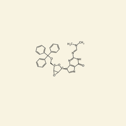 CN(C)C=Nc1nc2c(ncn2[C@@H]2O[C@H](COC(c3ccccc3)(c3ccccc3)c3ccccc3)C3OC32)c(=O)[nH]1